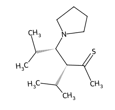 CC(=S)[C@H](C(C)C)[C@H](C(C)C)N1CCCC1